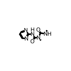 CNC(=O)N(C)C(=O)Nc1ncccn1